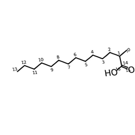 [CH2]C(CCCCCCCCCCCC)C(=O)O